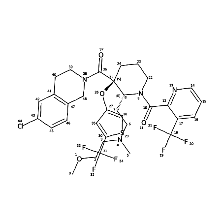 COCCN(C)CC[C@H]1N(C(=O)c2ncccc2C(F)(F)F)CCC[C@@]1(Oc1csc(C(F)(F)F)c1)C(=O)N1CCc2cc(Cl)ccc2C1